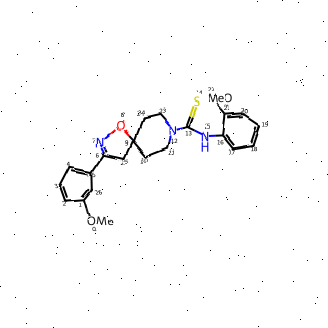 COc1cccc(C2=NOC3(CCN(C(=S)Nc4ccccc4OC)CC3)C2)c1